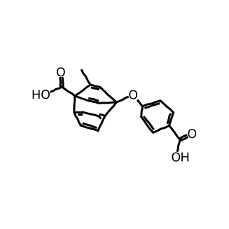 CC1=CC2(Oc3ccc(C(=O)O)cc3)C=CC1(C(=O)O)c1ccc2cc1